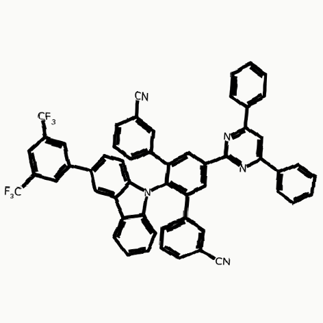 N#Cc1cccc(-c2cc(-c3nc(-c4ccccc4)cc(-c4ccccc4)n3)cc(-c3cccc(C#N)c3)c2-n2c3ccccc3c3cc(-c4cc(C(F)(F)F)cc(C(F)(F)F)c4)ccc32)c1